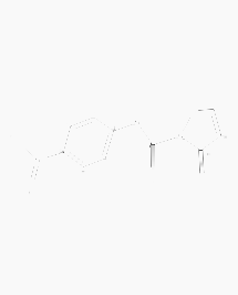 O=C(Nc1ccc([N+](=O)[O-])cc1)n1sccc1=O